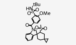 COc1ccc(C(=O)N2CC3(CCC4(CC4)CC3S(C)(=O)=O)c3ccccc32)cc1S(=O)(=O)NC(C)(C)C